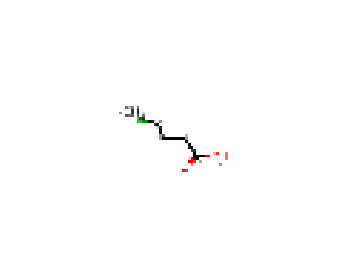 C.O=C(O)CCCCl